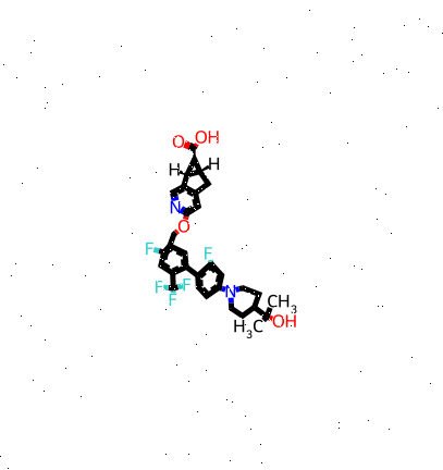 CC(C)(O)C1CCN(c2ccc(-c3cc(COc4cc5c(cn4)[C@H]4[C@@H](C5)[C@@H]4C(=O)O)c(F)cc3C(F)(F)F)c(F)c2)CC1